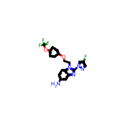 Nc1ccc2c(c1)nc(-n1cc(F)cn1)n2CCOc1ccc(OC(F)(F)F)cc1